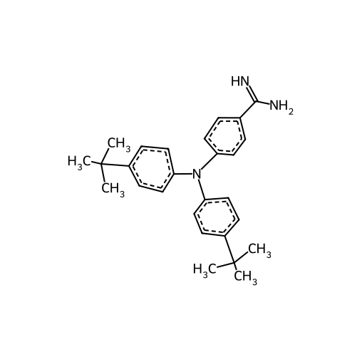 CC(C)(C)c1ccc(N(c2ccc(C(=N)N)cc2)c2ccc(C(C)(C)C)cc2)cc1